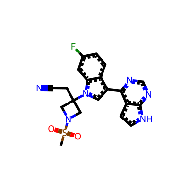 CS(=O)(=O)N1CC(CC#N)(n2cc(-c3ncnc4[nH]ccc34)c3ccc(F)cc32)C1